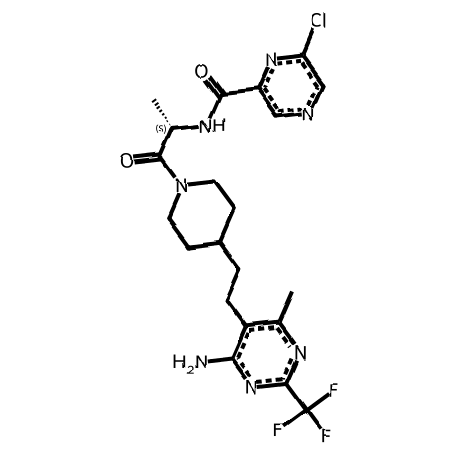 Cc1nc(C(F)(F)F)nc(N)c1CCC1CCN(C(=O)[C@H](C)NC(=O)c2cncc(Cl)n2)CC1